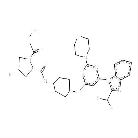 CC(C)(C)OC(=O)N1C[C@@H](F)C[C@H]1C(=O)N[C@H]1CC[C@H](Oc2cc(-n3c(C(F)F)nc4ccccc43)nc(N3CCOCC3)n2)CC1